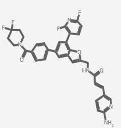 Nc1ccc(C=CC(=O)NCc2cc3cc(-c4ccc(C(=O)N5CCC(F)(F)CC5)cc4)cc(-c4ccc(F)nc4F)c3o2)cn1